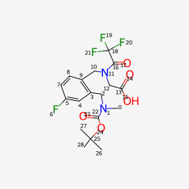 CN(Cc1cc(F)ccc1CN(CC(=O)O)C(=O)C(F)(F)F)C(=O)OC(C)(C)C